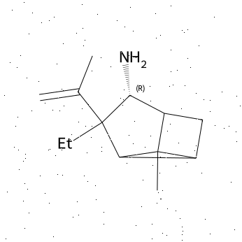 C=C(C)C1(CC)C2C3CC([C@H]1N)C32C